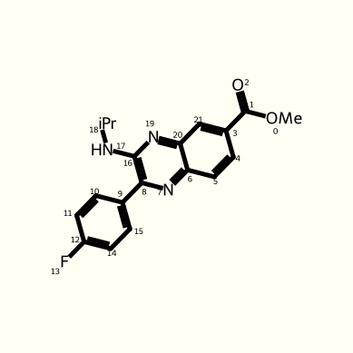 COC(=O)c1ccc2nc(-c3ccc(F)cc3)c(NC(C)C)nc2c1